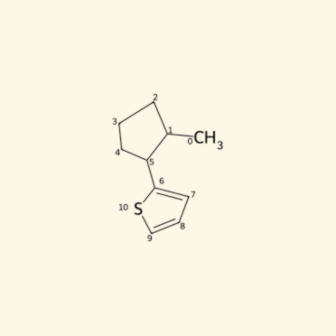 CC1CCCC1c1cccs1